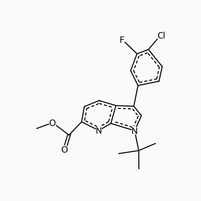 COC(=O)c1ccc2c(-c3ccc(Cl)c(F)c3)cn(C(C)(C)C)c2n1